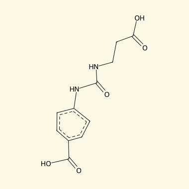 O=C(O)CCNC(=O)Nc1ccc(C(=O)O)cc1